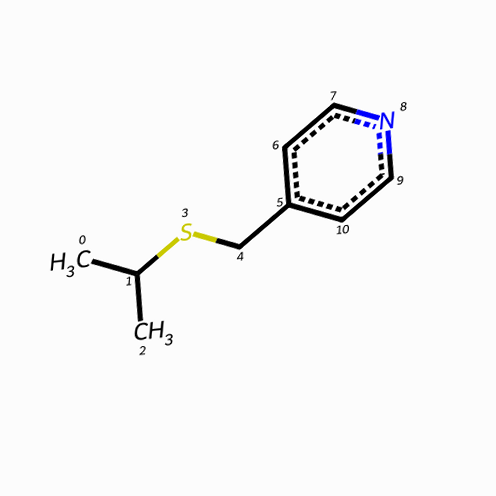 CC(C)SCc1ccncc1